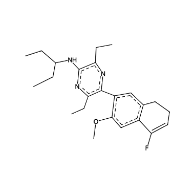 CCc1nc(-c2cc3c(cc2OC)C(F)=CCC3)c(CC)nc1NC(CC)CC